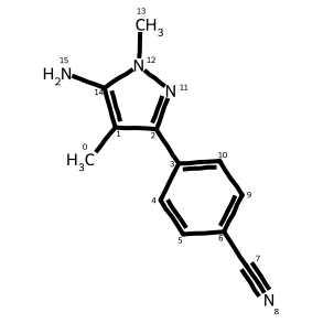 Cc1c(-c2ccc(C#N)cc2)nn(C)c1N